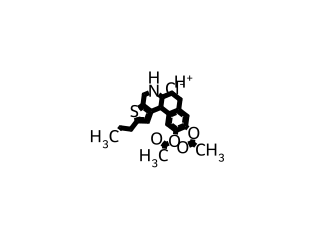 CCCc1cc2c(s1)CNC1CCc3cc(OC(C)=O)c(OC(C)=O)cc3C21.[Cl-].[H+]